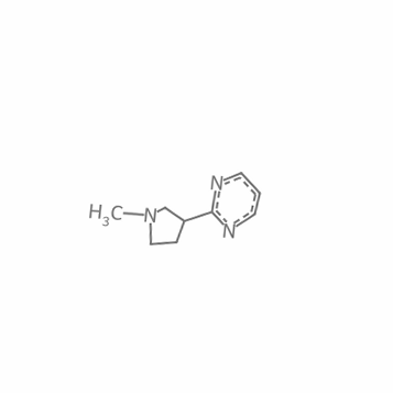 CN1CCC(c2ncccn2)C1